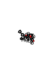 COc1cc2c(cc1C)oc(=O)n2C(C(=O)O)C(C(=O)N(C)C(CN1CCCC1)c1ccc(-c2ccccc2)cc1)n1c(=O)oc2cc(C)c(OC)cc21